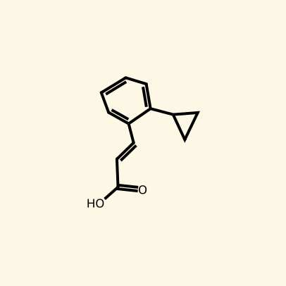 O=C(O)/C=C/c1ccccc1C1CC1